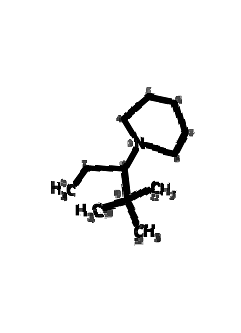 CCC(N1CCCCC1)C(C)(C)C